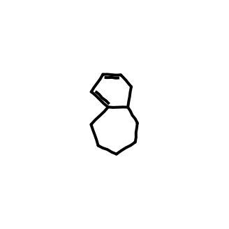 C1=CCC2CCCCCC2=C1